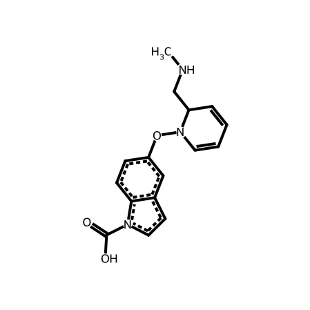 CNCC1C=CC=CN1Oc1ccc2c(ccn2C(=O)O)c1